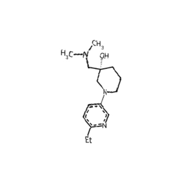 CCc1ccc(N2CCC[C@](O)(CN(C)C)C2)cn1